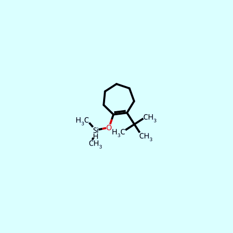 C[SiH](C)OC1=C(C(C)(C)C)CCCCC1